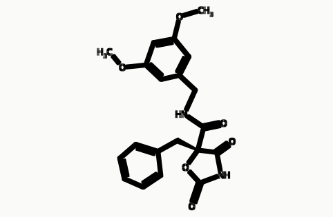 COc1cc(CNC(=O)[C@@]2(Cc3ccccc3)OC(=O)NC2=O)cc(OC)c1